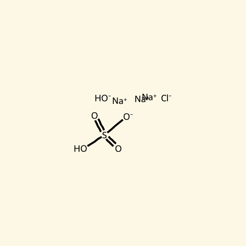 O=S(=O)([O-])O.[Cl-].[Na+].[Na+].[Na+].[OH-]